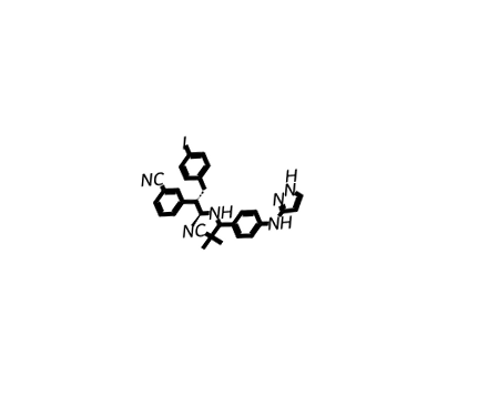 C[C@H](NC(c1ccc(Nc2cc[nH]n2)cc1)C(C)(C)C#N)[C@@H](Cc1ccc(I)cc1)c1cccc(C#N)c1